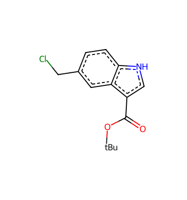 CC(C)(C)OC(=O)c1c[nH]c2ccc(CCl)cc12